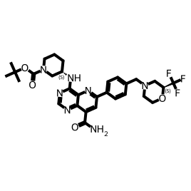 CC(C)(C)OC(=O)N1CCC[C@H](Nc2ncnc3c(C(N)=O)cc(-c4ccc(CN5CCO[C@H](C(F)(F)F)C5)cc4)nc23)C1